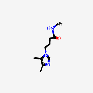 Cc1n[c]n(CCCC(=O)NC(C)C)c1C